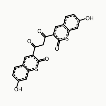 O=C(CC(=O)c1cc2ccc(O)cc2sc1=O)c1cc2ccc(O)cc2sc1=O